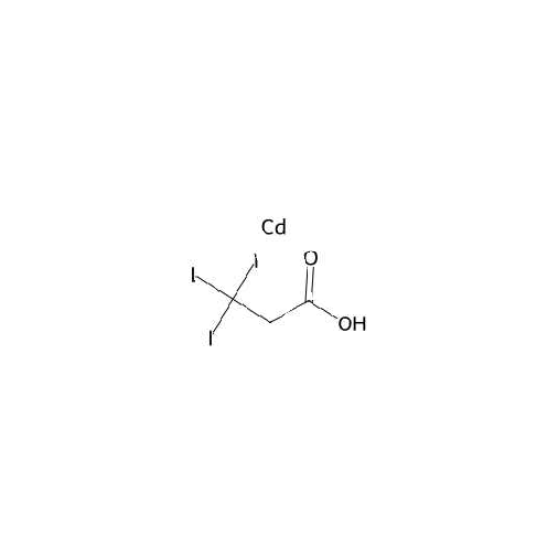 O=C(O)CC(I)(I)I.[Cd]